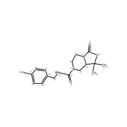 CC1(C)OC(=O)N2CCN(C(=O)NCc3ccc(F)cc3)CC21